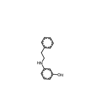 Oc1cccc(NCCc2ccccc2)c1